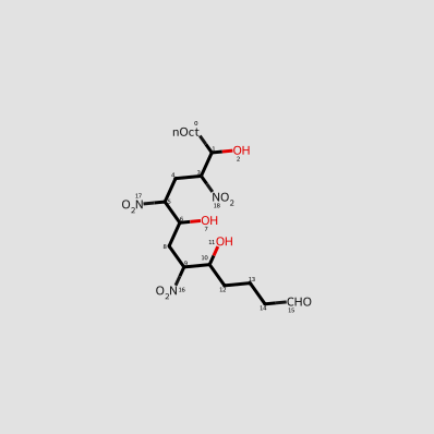 CCCCCCCCC(O)C(CC(C(O)CC(C(O)CCCC=O)[N+](=O)[O-])[N+](=O)[O-])[N+](=O)[O-]